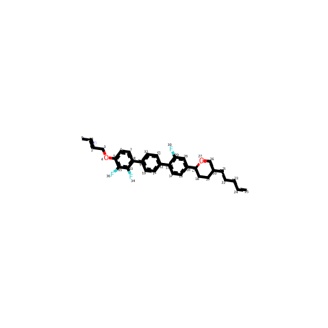 C/C=C/COc1ccc(-c2ccc(-c3ccc(C4CCC(CCCCC)CO4)cc3F)cc2)c(F)c1F